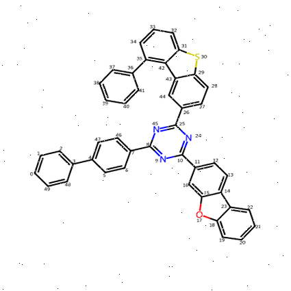 c1ccc(-c2ccc(-c3nc(-c4ccc5c(c4)oc4ccccc45)nc(-c4ccc5sc6cccc(-c7ccccc7)c6c5c4)n3)cc2)cc1